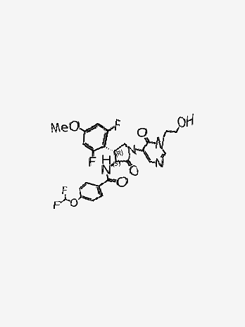 COc1cc(F)c([C@@H]2CN(c3cncn(CCO)c3=O)C(=O)[C@H]2NC(=O)c2ccc(OC(F)F)cc2)c(F)c1